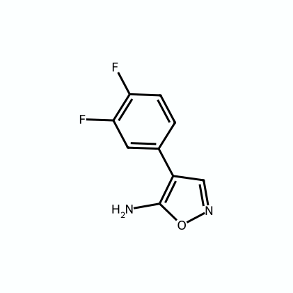 Nc1oncc1-c1ccc(F)c(F)c1